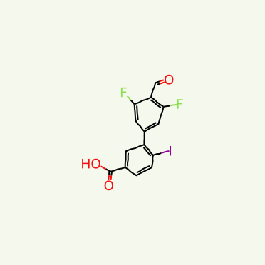 O=Cc1c(F)cc(-c2cc(C(=O)O)ccc2I)cc1F